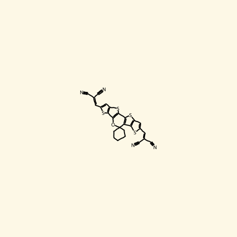 N#CC(C#N)=Cc1cc2sc3c(c2s1)OC1(CCCCC1)c1c-3sc2cc(C=C(C#N)C#N)sc12